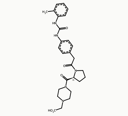 Cc1ccccc1NC(=O)Nc1ccc(CC(=O)N2CCC[C@H]2C(=O)N2CCN(CC(=O)O)CC2)cc1